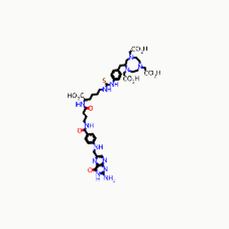 Nc1nc2ncc(CNc3ccc(C(=O)NCCCC(=O)N[C@@H](CCCCNC(=S)Nc4ccc(CC5CN(CC(=O)O)CCN(CC(=O)O)CCN5CC(=O)O)cc4)C(=O)O)cc3)nc2c(=O)[nH]1